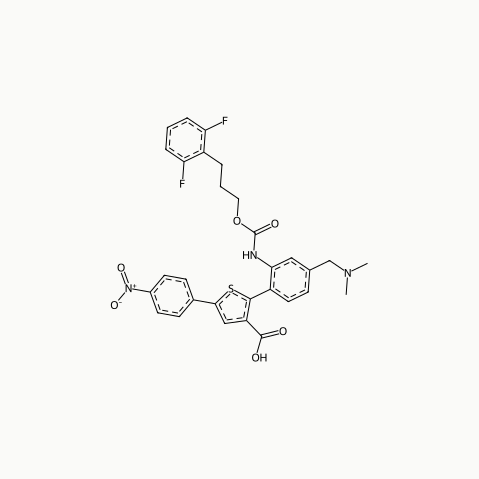 CN(C)Cc1ccc(-c2sc(-c3ccc([N+](=O)[O-])cc3)cc2C(=O)O)c(NC(=O)OCCCc2c(F)cccc2F)c1